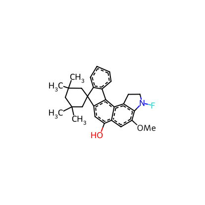 COc1cc2c(O)cc3c(c2c2c1N(F)CC2)-c1ccccc1C31CC(C)(C)CC(C)(C)C1